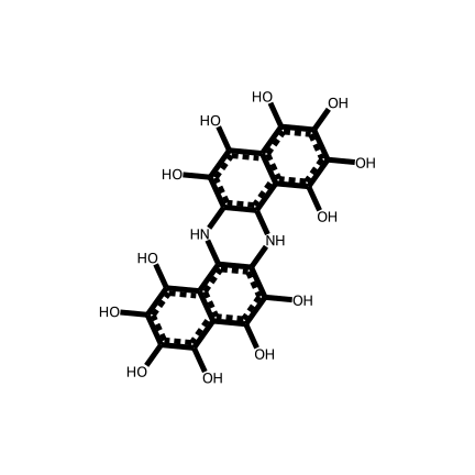 Oc1c(O)c(O)c2c3c(c(O)c(O)c2c1O)Nc1c(c(O)c(O)c2c(O)c(O)c(O)c(O)c12)N3